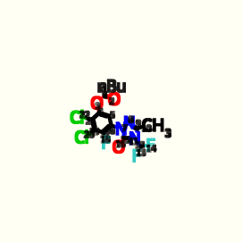 CCCCC(=O)Oc1cc(-n2nc(C)n(C(F)F)c2=O)c(F)c(Cl)c1Cl